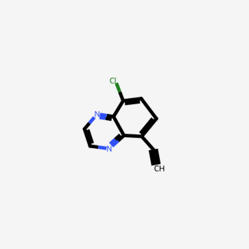 C#Cc1ccc(Cl)c2nccnc12